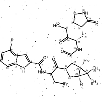 CC(C)CC(NC(=O)c1cc2c(F)cccc2[nH]1)C(=O)N1C[C@H]2[C@@H]([C@H]1C(=O)N[C@@H](C[C@@H]1CCNC1=O)C(=O)CO)C2(C)C